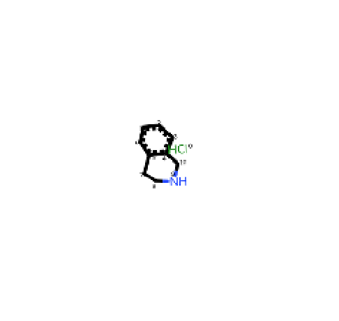 Cl.c1ccc2c(c1)CCNC2